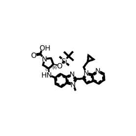 Cn1c(-c2cc3cccnc3n2CC2CC2)nc2cc(N[C@H]3CN(C(=O)O)C[C@H]3O[Si](C)(C)C(C)(C)C)ccc21